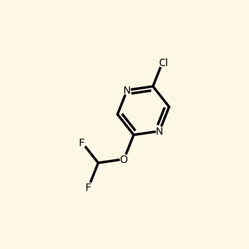 FC(F)Oc1cnc(Cl)cn1